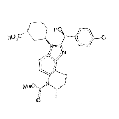 COC(=O)N1c2ccc3c(nc([C@@H](O)c4ccc(Cl)cc4)n3[C@@H]3CCC[C@@H](C(=O)O)C3)c2CC[C@@H]1C